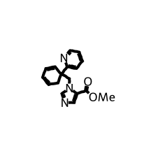 COC(=O)c1cncn1CC1(c2ccccn2)C=CC=CC1